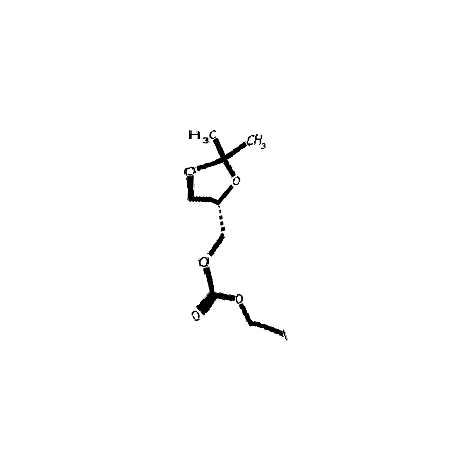 CC1(C)OC[C@@H](COC(=O)OCI)O1